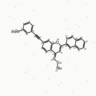 CNc1cccc(C#Cc2ccc3c(=NOC(C)(C)C)cc(-c4cc5ccccc5cn4)oc3c2)c1